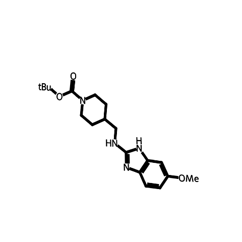 COc1ccc2nc(NCC3CCN(C(=O)OC(C)(C)C)CC3)[nH]c2c1